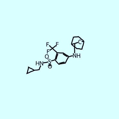 O=S(=O)(NCC1CC1)c1ccc(NC2CC3CCC2CC3)cc1C(F)(F)F